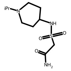 CC(C)N1CCC(NS(=O)(=O)CC(N)=O)CC1